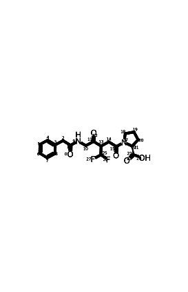 O=C(Cc1ccccc1)NCC(=O)C(CC(=O)N1CCC[C@H]1C(=O)O)C(F)F